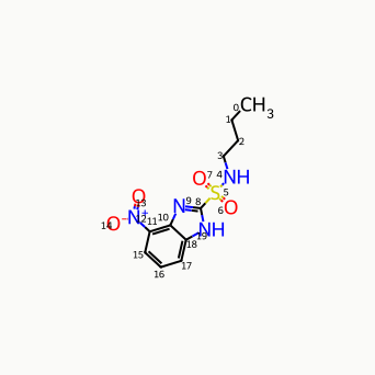 CCCCNS(=O)(=O)c1nc2c([N+](=O)[O-])cccc2[nH]1